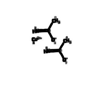 CC(=N)[O-].CC(=N)[O-].[Cu+2]